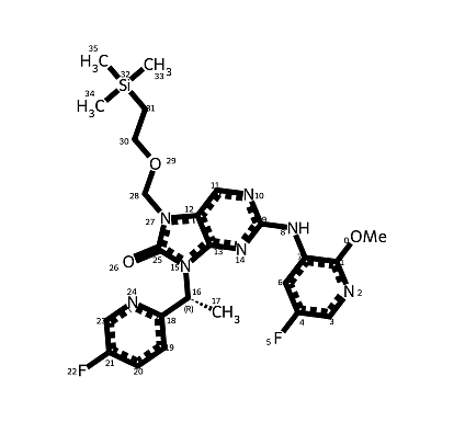 COc1ncc(F)cc1Nc1ncc2c(n1)n([C@H](C)c1ccc(F)cn1)c(=O)n2COCC[Si](C)(C)C